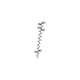 CCCNC(=O)CCCCCCCCCCCC(=O)NCC(=O)O